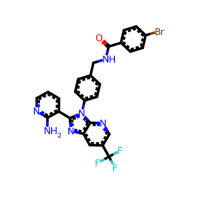 Nc1ncccc1-c1nc2cc(C(F)(F)F)cnc2n1-c1ccc(CNC(=O)c2ccc(Br)cc2)cc1